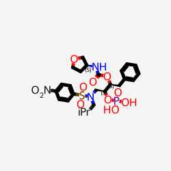 CC(C)CN(C[C@H](OP(=O)(O)O)[C@H](Cc1ccccc1)OC(=O)N[C@H]1CCOC1)S(=O)(=O)c1ccc([N+](=O)[O-])cc1